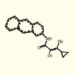 N#CC(C(=O)Nc1ccc2cc3ccccc3cc2c1)=C(O)C1CC1